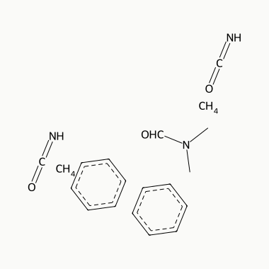 C.C.CN(C)C=O.N=C=O.N=C=O.c1ccccc1.c1ccccc1